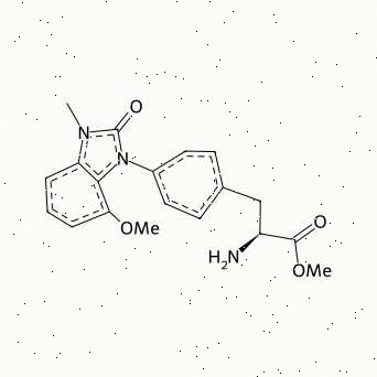 COC(=O)[C@@H](N)Cc1ccc(-n2c(=O)n(C)c3cccc(OC)c32)cc1